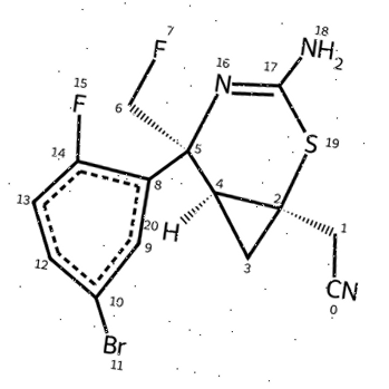 N#CC[C@]12C[C@H]1[C@@](CF)(c1cc(Br)ccc1F)N=C(N)S2